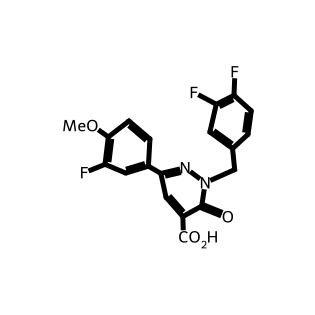 COc1ccc(-c2cc(C(=O)O)c(=O)n(Cc3ccc(F)c(F)c3)n2)cc1F